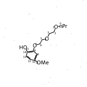 CCCOCCOCCOc1cc(OC)ccc1O